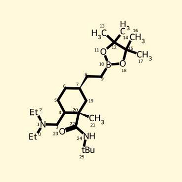 CCN(CC)CC1CC[C@@H](CCB2OC(C)(C)C(C)(C)O2)C[C@]1(C)C(=O)NC(C)(C)C